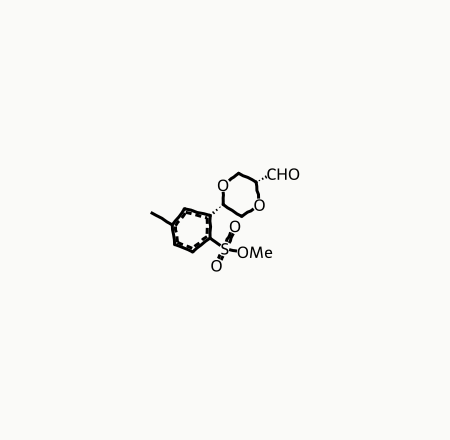 COS(=O)(=O)c1ccc(C)cc1[C@H]1CO[C@@H](C=O)CO1